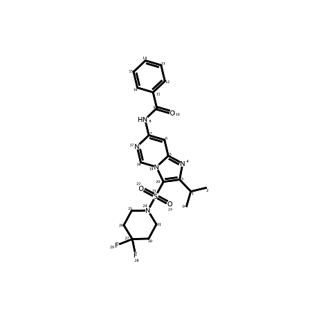 CC(C)c1nc2cc(NC(=O)c3ccccc3)ncn2c1S(=O)(=O)N1CCC(F)(F)CC1